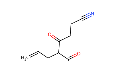 C=CCC([C]=O)C(=O)CCC#N